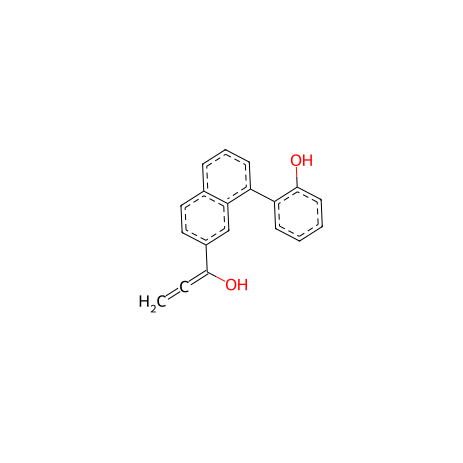 C=C=C(O)c1ccc2cccc(-c3ccccc3O)c2c1